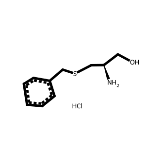 Cl.N[C@H](CO)CSCc1ccccc1